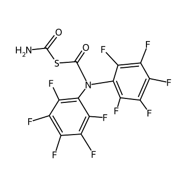 NC(=O)SC(=O)N(c1c(F)c(F)c(F)c(F)c1F)c1c(F)c(F)c(F)c(F)c1F